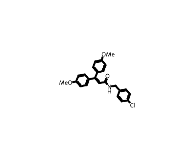 COc1ccc(C(=CC(=O)NCc2ccc(Cl)cc2)c2ccc(OC)cc2)cc1